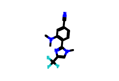 CN(C)c1cc(C#N)ccc1-c1nc(C(F)(F)F)cn1C